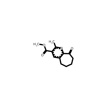 COC(=O)c1cc2c(nc1C)C(=O)CCCC2